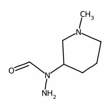 CN1CCCC(N(N)C=O)C1